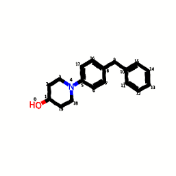 OC1CCN(c2ccc(Cc3[c]cccc3)cc2)CC1